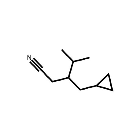 CC(C)C(CC#N)CC1CC1